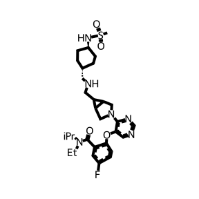 CCN(C(=O)c1cc(F)ccc1Oc1cncnc1N1CC2C(CNC[C@H]3CC[C@H](NS(C)(=O)=O)CC3)C2C1)C(C)C